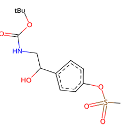 CC(C)(C)OC(=O)NCC(O)c1ccc(OS(C)(=O)=O)cc1